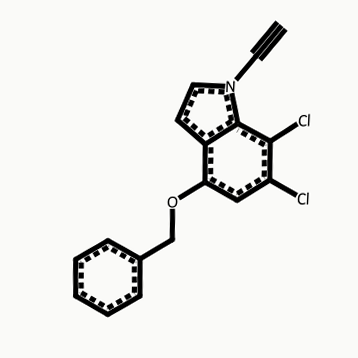 C#Cn1ccc2c(OCc3ccccc3)cc(Cl)c(Cl)c21